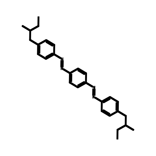 CCC(C)Cc1ccc(N=Nc2ccc(N=Nc3ccc(CC(C)CC)cc3)cc2)cc1